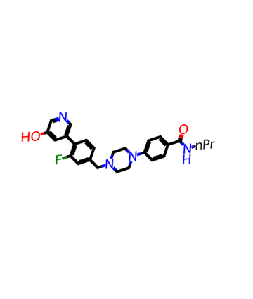 CCCNC(=O)c1ccc(N2CCN(Cc3ccc(-c4cncc(O)c4)c(F)c3)CC2)cc1